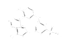 NS(=O)(=O)c1cccc(Oc2ccc(Cl)c(-c3ncnc4c(C(F)(F)F)cccc34)c2)c1